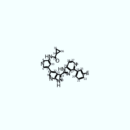 O=C(Nc1cncc(-c2cnc3[nH]nc(-c4nc5c(-c6cccc(F)c6)nccc5[nH]4)c3c2)c1)C1CC1